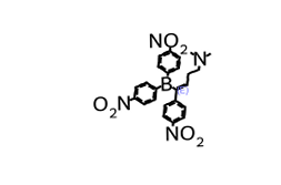 CN(C)CC/C=C(\B(c1ccc([N+](=O)[O-])cc1)c1ccc([N+](=O)[O-])cc1)c1ccc([N+](=O)[O-])cc1